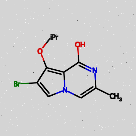 Cc1cn2cc(Br)c(OC(C)C)c2c(O)n1